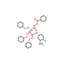 Cc1cc([C@H]2O[C@H](COC(=O)c3ccccc3)[C@@H](OCc3ccccc3)[C@H](OCc3ccccc3)[C@@H]2OCc2ccccc2)ccc1F